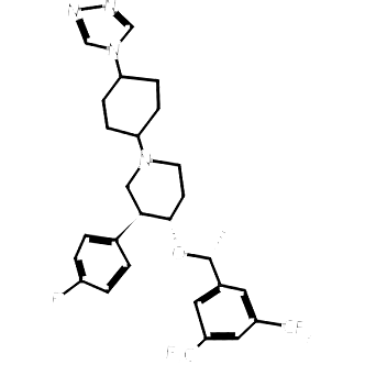 C[C@@H](O[C@H]1CCN(C2CCC(n3cnnc3)CC2)C[C@@H]1c1ccc(F)cc1)c1cc(C(F)(F)F)cc(C(F)(F)F)c1